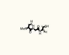 CNC(CS)C(=O)NCC(=O)N[C@H](CS)C(C)=O